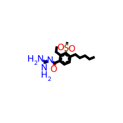 CCCCCc1ccc(C(=O)N=C(N)N)c(CC)c1S(C)(=O)=O